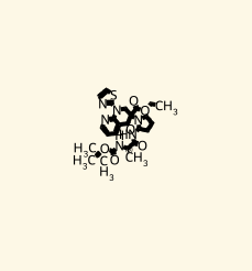 CCOC(=O)C1(N2CCCC2NC(=O)[C@H](C)NC(=O)OC(C)(C)C)CN(c2nccs2)c2ncccc2C1=O